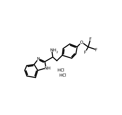 Cl.Cl.NC(Cc1ccc(OC(F)(F)F)cc1)c1nc2ccccc2[nH]1